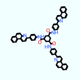 O=C(Nc1ccc(-c2ccc3c(ccc4ccccc43)n2)cc1)C1CC(C(=O)Nc2ccc(-c3ccc4c(ccc5ccccc54)n3)cc2)CC(C(=O)Nc2ccc(-c3ccc4c(ccc5ccccc54)n3)cc2)C1